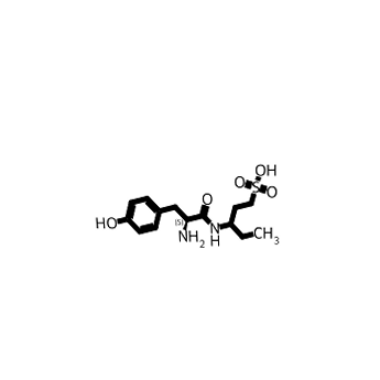 CCC(CCS(=O)(=O)O)NC(=O)[C@@H](N)Cc1ccc(O)cc1